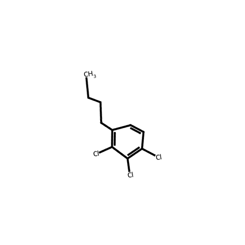 CCCCc1ccc(Cl)c(Cl)c1Cl